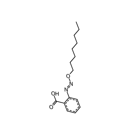 CCCCCCCCON=Nc1ccccc1C(=O)O